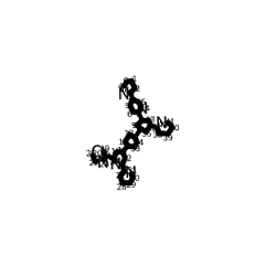 c1ccc(-c2ccc(-c3cc(-c4ccc(-c5cc(-c6ccccn6)nc(-c6ccccn6)c5)cc4)cc(-c4ccccn4)c3)nc2)nc1